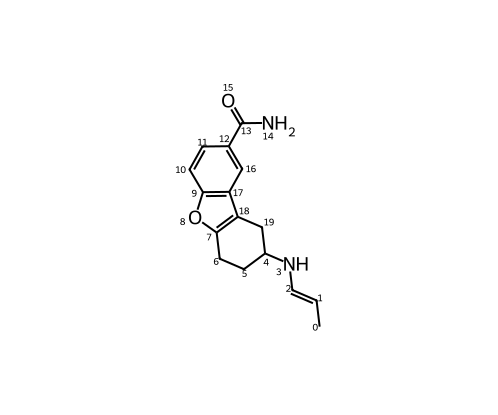 CC=CNC1CCc2oc3ccc(C(N)=O)cc3c2C1